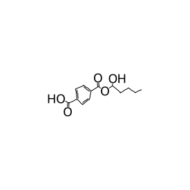 CCCCC(O)OC(=O)c1ccc(C(=O)O)cc1